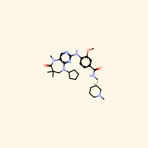 COc1cc(C(=O)NC[C@H]2CCCN(C)C2)ccc1Nc1ncc2c(n1)N(C1CCCC1)CC(C)(C)C(=O)N2C